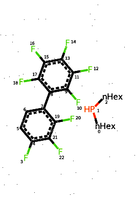 CCCCCCPCCCCCC.Fc1ccc(-c2c(F)c(F)c(F)c(F)c2F)c(F)c1F